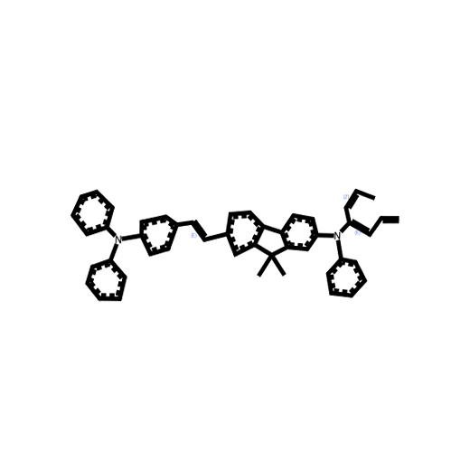 C=C/C=C(\C=C/C)N(c1ccccc1)c1ccc2c(c1)C(C)(C)c1cc(/C=C/c3ccc(N(c4ccccc4)c4ccccc4)cc3)ccc1-2